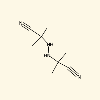 CC(C)(C#N)NNC(C)(C)C#N